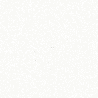 COc1ccccc1-c1nc(C(=O)O)c2n1C(C)=C1C(=CC=C(Cl)C1C)C2Nc1cc(Cl)c(=O)n(CCO)c1